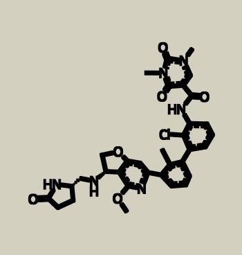 COc1nc(-c2cccc(-c3cccc(NC(=O)c4cn(C)c(=O)n(C)c4=O)c3Cl)c2C)cc2c1[C@@H](NC[C@@H]1CCC(=O)N1)CO2